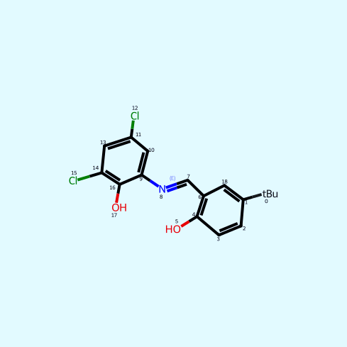 CC(C)(C)c1ccc(O)c(/C=N/c2cc(Cl)cc(Cl)c2O)c1